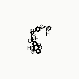 O=C(NCc1cnc(-c2ccc(OCC[C@@H]3CCCN3)cc2)s1)c1ccc2c(c1)NC(=O)c1ccccc1S2(=O)=O